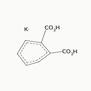 O=C(O)c1ccccc1C(=O)O.[K]